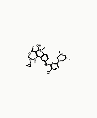 C[C@@H]1C[C@H](C)CN(c2ncc(Cl)c(Nc3ccc4c(c3)C3=C(C(=O)OC[C@H](C5CC5)N3)C(O)N4C)n2)C1